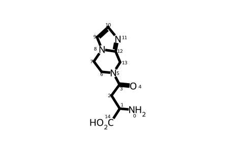 NC(CC(=O)N1CCn2ccnc2C1)C(=O)O